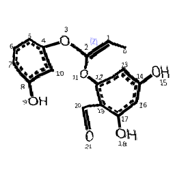 C/C=C(/Oc1cccc(O)c1)Oc1cc(O)cc(O)c1C=O